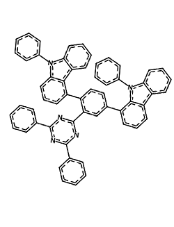 c1ccc(-c2nc(-c3ccccc3)nc(-c3cc(-c4cccc5c6ccccc6n(-c6ccccc6)c45)ccc3-c3cccc4c3c3ccccc3n4-c3ccccc3)n2)cc1